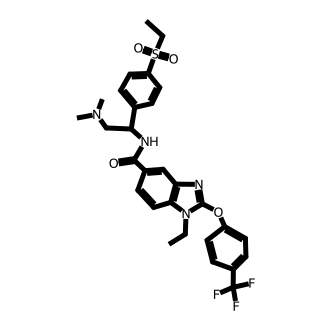 CCn1c(Oc2ccc(C(F)(F)F)cc2)nc2cc(C(=O)NC(CN(C)C)c3ccc(S(=O)(=O)CC)cc3)ccc21